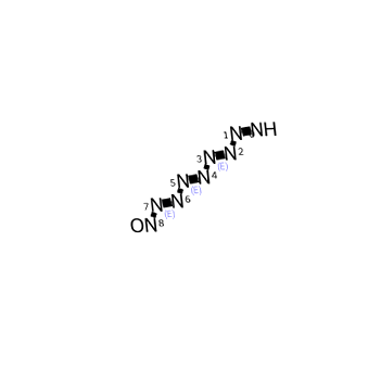 N=N/N=N/N=N/N=N/N=O